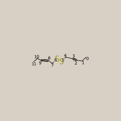 CCC#CCSSCC#CCC